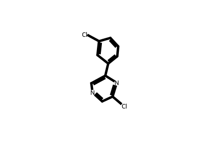 Clc1cccc(-c2cncc(Cl)n2)c1